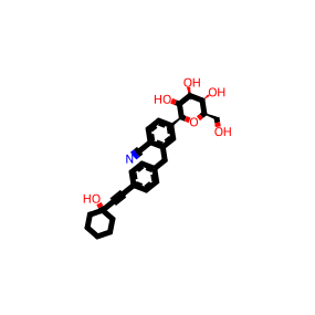 N#Cc1ccc([C@@H]2O[C@H](CO)[C@@H](O)[C@H](O)C2O)cc1Cc1ccc(C#CC2(O)CCCCC2)cc1